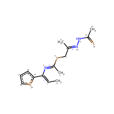 C/C=C(\N=C(/C)SC/C(C)=N/NC(C)=S)c1cccs1